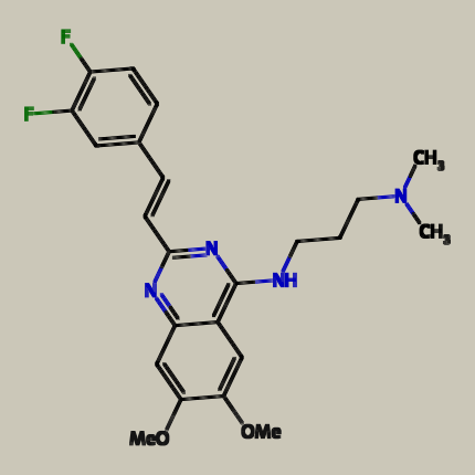 COc1cc2nc(C=Cc3ccc(F)c(F)c3)nc(NCCCN(C)C)c2cc1OC